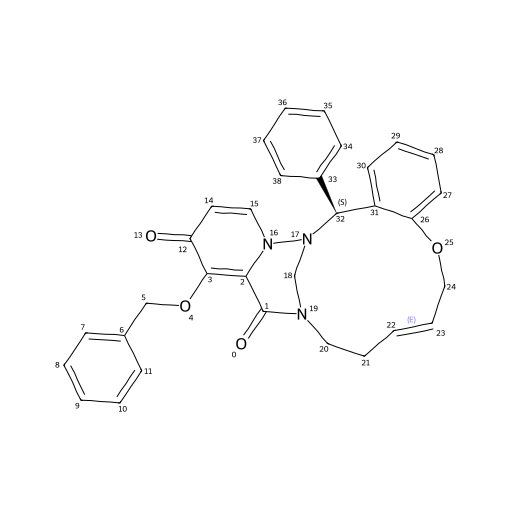 O=C1c2c(OCc3ccccc3)c(=O)ccn2N2CN1CC/C=C/COc1ccccc1[C@@H]2c1ccccc1